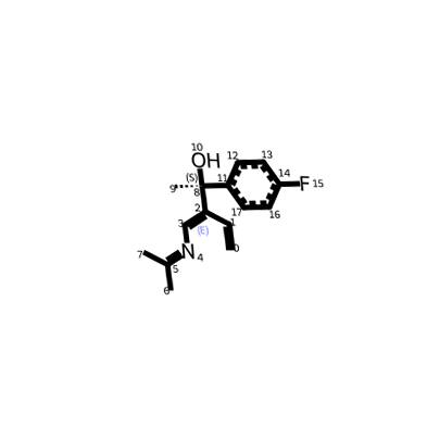 C=C/C(=C\N=C(C)C)[C@@](C)(O)c1ccc(F)cc1